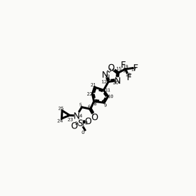 CS(=O)(=O)N(CC(=O)c1ccc(-c2noc(C(F)(F)F)n2)cc1)C1CC1